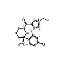 CCn1cc(C(=O)N2CCCC(OC)(c3ncc(Cl)cc3C)C2)cn1